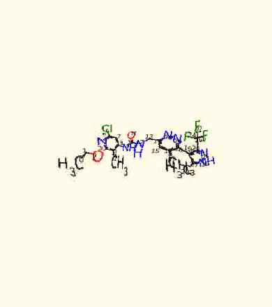 CCOc1nc(Cl)cc(NC(=O)NCc2cc(C)c(-c3c(C(F)(F)F)n[nH]c3C)nn2)c1C